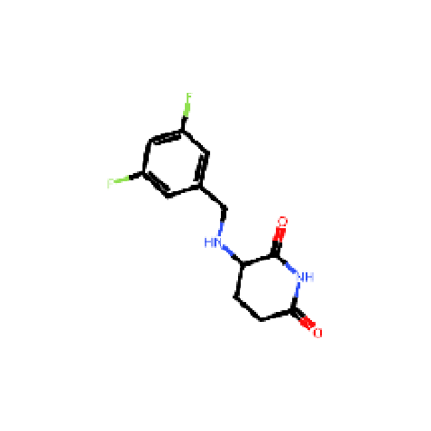 O=C1CCC(NCc2cc(F)cc(F)c2)C(=O)N1